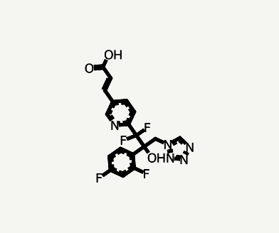 O=C(O)C=Cc1ccc(C(F)(F)C(O)(Cn2cnnn2)c2ccc(F)cc2F)nc1